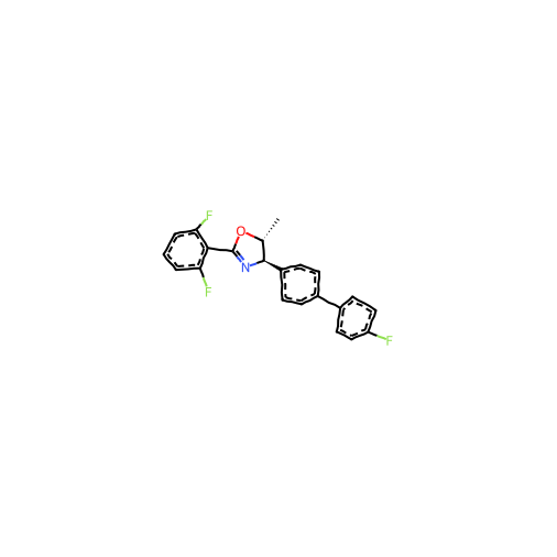 C[C@H]1OC(c2c(F)cccc2F)=N[C@@H]1c1ccc(-c2ccc(F)cc2)cc1